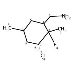 CC1CC(CN)C(C)(F)[C@H](Cl)C1